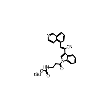 CC(C)(C)OC(=O)NCCC(=O)n1cc(/C(C#N)=C/c2cccc3cnccc23)c2ccccc21